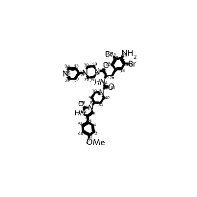 COc1ccc(-c2cn(C3CCN(C(=O)N[C@H](Cc4cc(Br)c(N)c(Br)c4)C(=O)N4CCN(c5ccncc5)CC4)CC3)c(=O)[nH]2)cc1